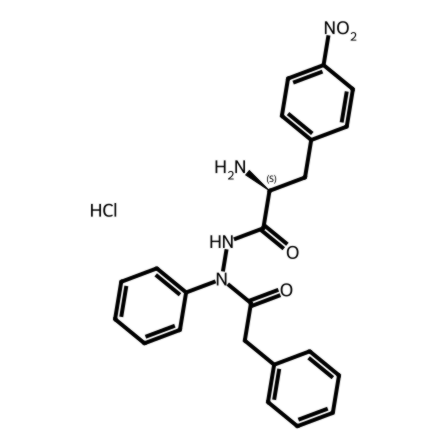 Cl.N[C@@H](Cc1ccc([N+](=O)[O-])cc1)C(=O)NN(C(=O)Cc1ccccc1)c1ccccc1